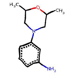 CC1CN(c2cccc(N)c2)CC(C)O1